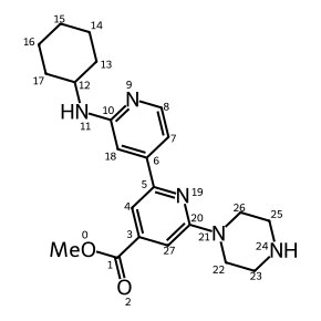 COC(=O)c1cc(-c2ccnc(NC3CCCCC3)c2)nc(N2CCNCC2)c1